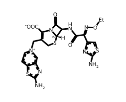 CCON=C(C(=O)NC1C(=O)N2C(C(=O)[O-])=C(C[n+]3ccc4sc(N)nc4c3)CS[C@@H]12)c1csc(N)n1